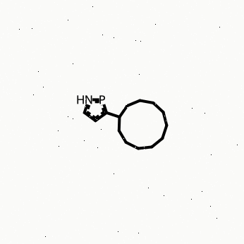 c1cc(C2CCCCCCCCCC2)p[nH]1